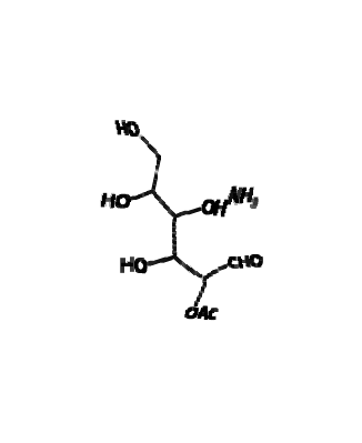 CC(=O)OC(C=O)C(O)C(O)C(O)CO.N